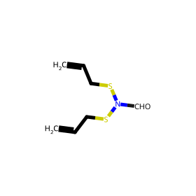 C=CCSN(C=O)SCC=C